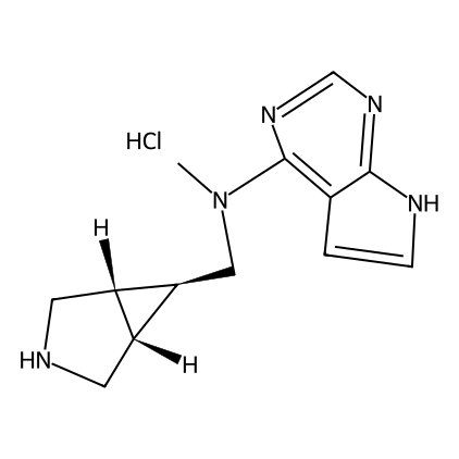 CN(C[C@H]1[C@@H]2CNC[C@@H]21)c1ncnc2[nH]ccc12.Cl